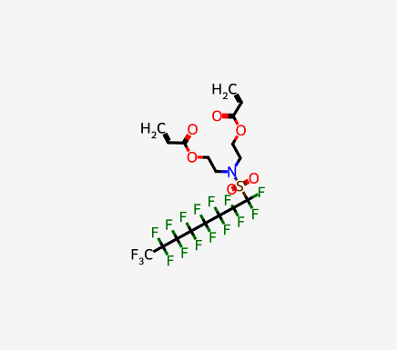 C=CC(=O)OCCN(CCOC(=O)C=C)S(=O)(=O)C(F)(F)C(F)(F)C(F)(F)C(F)(F)C(F)(F)C(F)(F)C(F)(F)C(F)(F)F